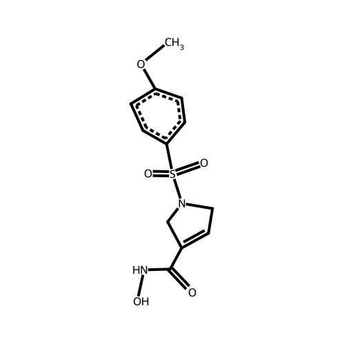 COc1ccc(S(=O)(=O)N2CC=C(C(=O)NO)C2)cc1